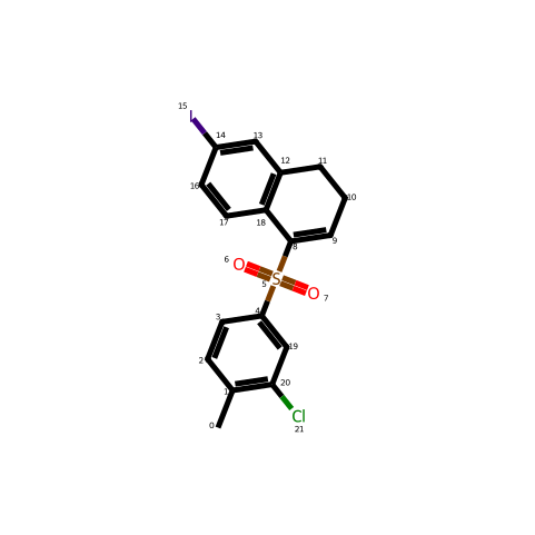 Cc1ccc(S(=O)(=O)C2=CCCc3cc(I)ccc32)cc1Cl